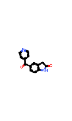 O=C1Cc2cc(C(=O)c3ccncc3)ccc2N1